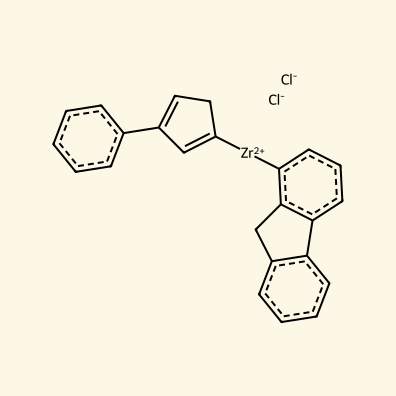 C1=[C]([Zr+2][c]2cccc3c2Cc2ccccc2-3)CC=C1c1ccccc1.[Cl-].[Cl-]